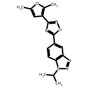 Cc1cc(-c2noc(-c3ccc4c(c3)nnn4C(C)C)n2)c(C)o1